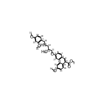 COC(=O)/C(=C/c1ccc(OCC(O)CNCc2ccc(OC)cc2OC)cc1)c1ccc(OC)cc1